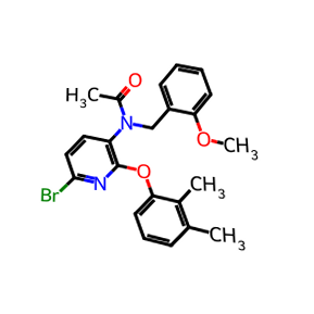 COc1ccccc1CN(C(C)=O)c1ccc(Br)nc1Oc1cccc(C)c1C